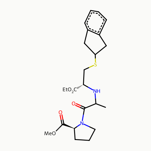 CCOC(=O)[C@H](CSC1Cc2ccccc2C1)NC(C)C(=O)N1CCC[C@H]1C(=O)OC